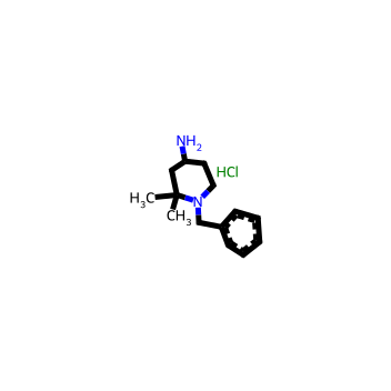 CC1(C)CC(N)CCN1Cc1ccccc1.Cl